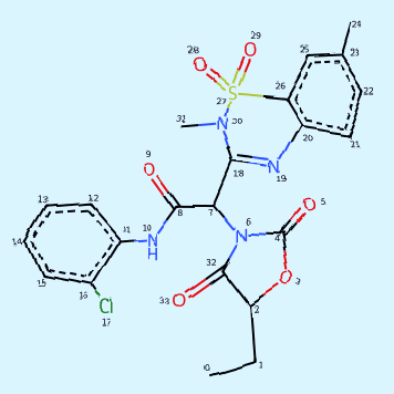 CCC1OC(=O)N(C(C(=O)Nc2ccccc2Cl)C2=Nc3ccc(C)cc3S(=O)(=O)N2C)C1=O